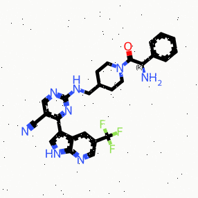 N#Cc1cnc(NCC2CCN(C(=O)[C@H](N)c3ccccc3)CC2)nc1-c1c[nH]c2ncc(C(F)(F)F)cc12